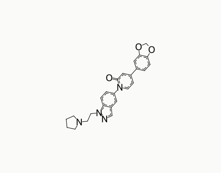 O=c1cc(-c2ccc3c(c2)OCO3)ccn1-c1ccc2c(cnn2CCN2CCCC2)c1